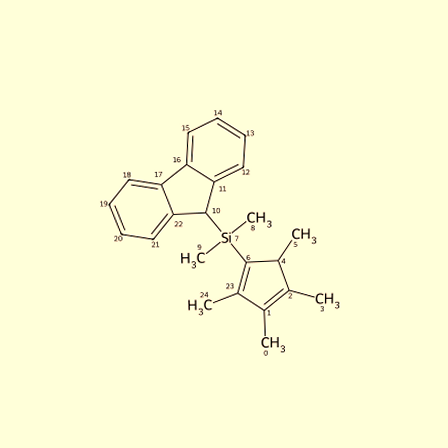 CC1=C(C)C(C)C([Si](C)(C)C2c3ccccc3-c3ccccc32)=C1C